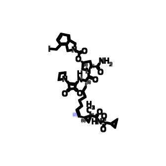 C[C@]1(C(=O)NS(=O)(=O)C2CC2)C[C@H]1/C=C\CCCCC[C@H](Nc1c(N2CCC2)c(=O)c1=O)C(=O)N1C[C@H](OC(=O)N2Cc3cccc(CI)c3C2)C[C@H]1C(N)=O